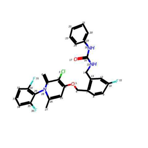 C=C1C(Cl)=C(OCc2ccc(F)cc2CNC(=O)Nc2ccccc2)C=C(C)N1c1c(F)cccc1F